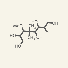 COC(C(O)CO)C(C)(C)C(O)C(O)C(O)CO